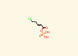 O=C(C=CCCCl)OP(=O)(O)O